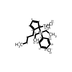 CCCCC1=CC=C[C]1([Ti+3])[Si](CC)(CC)c1ccccc1.[Cl-].[Cl-].[Cl-]